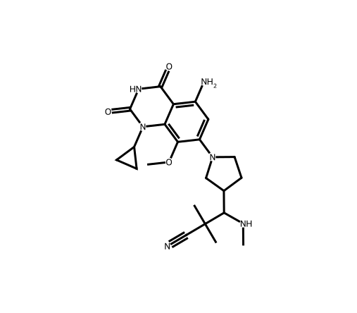 CNC(C1CCN(c2cc(N)c3c(=O)[nH]c(=O)n(C4CC4)c3c2OC)C1)C(C)(C)C#N